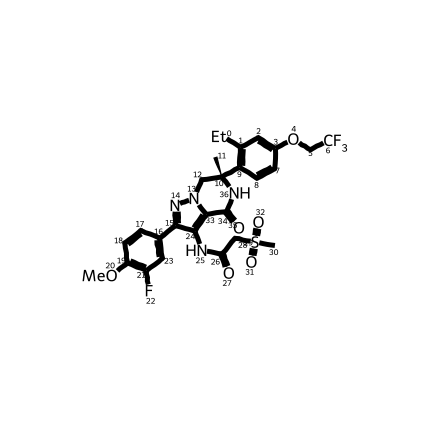 CCc1cc(OCC(F)(F)F)ccc1[C@@]1(C)Cn2nc(-c3ccc(OC)c(F)c3)c(NC(=O)CS(C)(=O)=O)c2C(=O)N1